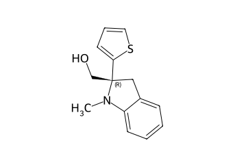 CN1c2ccccc2C[C@@]1(CO)c1cccs1